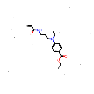 C=CC(=O)NCCCN(CC)c1ccc(C(=O)OCC)cc1